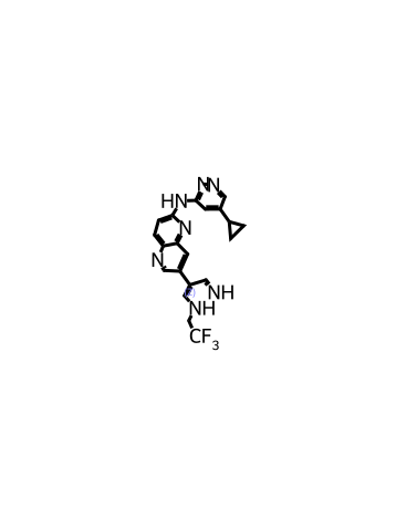 N=C/C(=C\NCC(F)(F)F)c1cnc2ccc(Nc3cc(C4CC4)cnn3)nc2c1